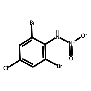 O=[N+]([O-])Nc1c(Br)cc(Cl)cc1Br